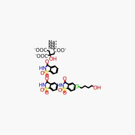 O=C([O-])CC(O)(CC(=O)[O-])C(=O)[O-].O=C1NS(=O)(=O)c2ccccc21.O=C1NS(=O)(=O)c2ccccc21.O=C1NS(=O)(=O)c2ccccc21.OCCCCCl.[Na+].[Na+].[Na+]